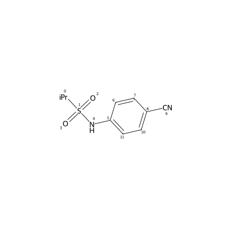 CC(C)S(=O)(=O)Nc1c[c]c(C#N)cc1